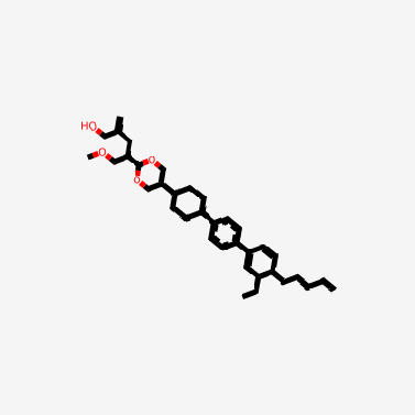 C=C(CO)CC(COC)C1OCC(C2CCC(c3ccc(C4=CC(CC)C(CCCCC)C=C4)cc3)CC2)CO1